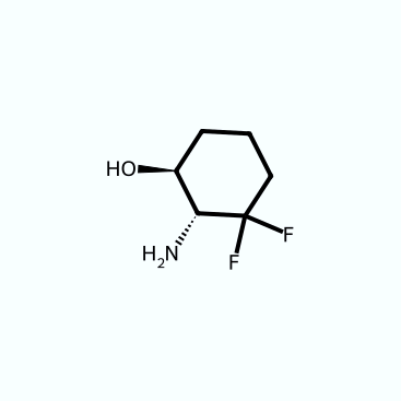 N[C@@H]1[C@@H](O)CCCC1(F)F